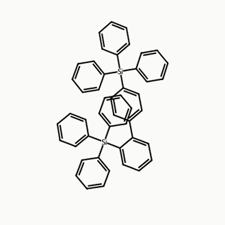 c1ccc([Si](c2ccccc2)(c2ccccc2)c2ccc(-c3ccccc3[Si](c3ccccc3)(c3ccccc3)c3ccccc3)cc2)cc1